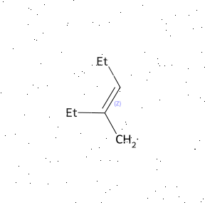 [CH2]C/C=C(/[CH2])CC